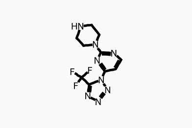 FC(F)(F)c1nnnn1-c1ccnc(N2CCNCC2)n1